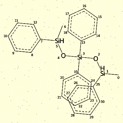 C[SiH](O[Si](O[SiH](C)c1ccccc1)(c1ccccc1)c1ccccc1)c1ccccc1